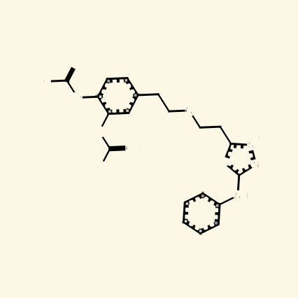 CC(=O)Oc1ccc(CCNCCc2nnc(Nc3ccccc3)s2)cc1OC(C)=O